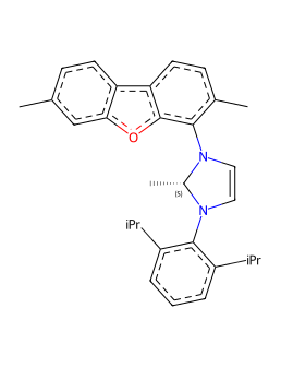 Cc1ccc2c(c1)oc1c(N3C=CN(c4c(C(C)C)cccc4C(C)C)[C@@H]3C)c(C)ccc12